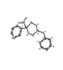 CN(C)C1(c2cccnc2)CCN(Cc2ccccc2)CC1